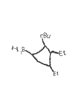 BC1CC(CC)C(CC)C1CCCC